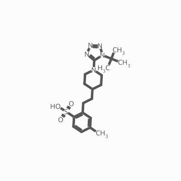 Cc1ccc(S(=O)(=O)O)c(CCC2CCN(c3nnnn3C(C)(C)C)CC2)c1